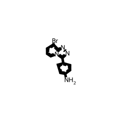 Nc1ccc(-c2nnc3c(Br)cccn23)cc1